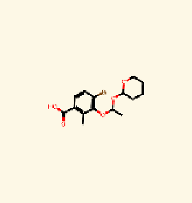 Cc1c(C(=O)O)ccc(Br)c1OC(C)OC1CCCCO1